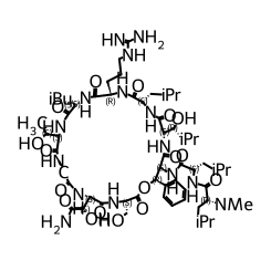 CC[C@H](C)[C@@H]1NC(=O)[C@@H](CCCNC(=N)N)NC(=O)[C@H](CC(C)C)NC(=O)[C@H]([C@H](O)C(C)C)NC(=O)[C@@H](NC(=O)[C@H](CC(C)C)NC(=O)[C@@H](CC(C)C)NC)[C@@H](c2ccccc2)OC(=O)[C@H](CO)NC(=O)[C@H]([C@H](O)C(N)=O)NC(=O)CNC(=O)[C@H]([C@H](C)O)NC1=O